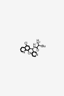 CC(C)(C)[C@H](N)C(=O)NC(c1cccnc1)c1cc(Cl)c2cccnc2c1O